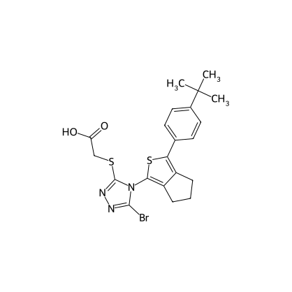 CC(C)(C)c1ccc(-c2sc(-n3c(Br)nnc3SCC(=O)O)c3c2CCC3)cc1